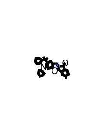 Cc1ccc2c(c1)C(=O)/C(=C\c1ccc3c(c1)C(C)(C)c1ccccc1N3c1ccccc1)C2=O